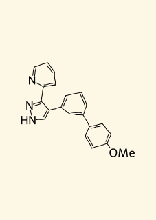 COc1ccc(-c2cccc(-c3c[nH]nc3-c3ccccn3)c2)cc1